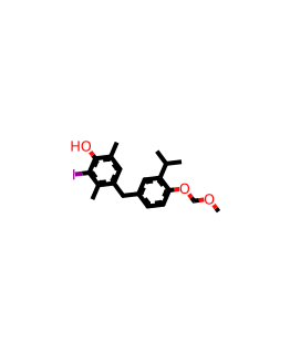 COCOc1ccc(Cc2cc(C)c(O)c(I)c2C)cc1C(C)C